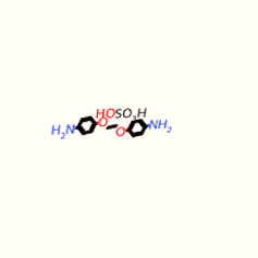 Nc1ccc(OCCOc2ccc(N)cc2)cc1.O=S(=O)(O)O